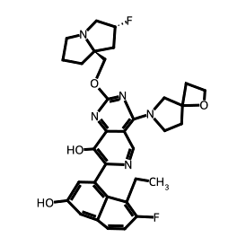 CCc1c(F)ccc2cc(O)cc(-c3ncc4c(N5CCC6(CCO6)C5)nc(OC[C@@]56CCCN5C[C@H](F)C6)nc4c3O)c12